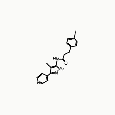 Cc1c(-c2ccncc2)n[nH]c1NC(=O)CCc1ccc(I)cc1